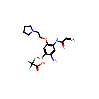 C=CC(=O)Nc1cc(N)c(OC)cc1OCCN1CCCC1.O=C(O)C(F)(F)F